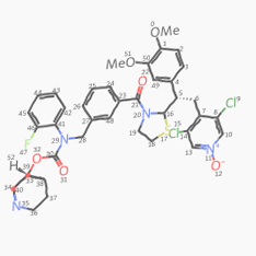 COc1ccc([C@H](Cc2c(Cl)c[n+]([O-])cc2Cl)C2SCCN2C(=O)c2cccc(CN(C(=O)O[C@H]3CN4CCC3CC4)c3ccccc3F)c2)cc1OC